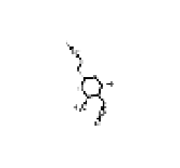 C[C@H]1O[C@H](CN=[N+]=[N-])C[C@@H](F)C1N=[N+]=[N-]